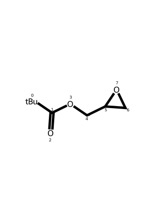 CC(C)(C)C(=O)O[CH]C1CO1